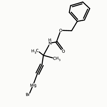 CC(C)(C#[C][Mg][Br])NC(=O)OCc1ccccc1